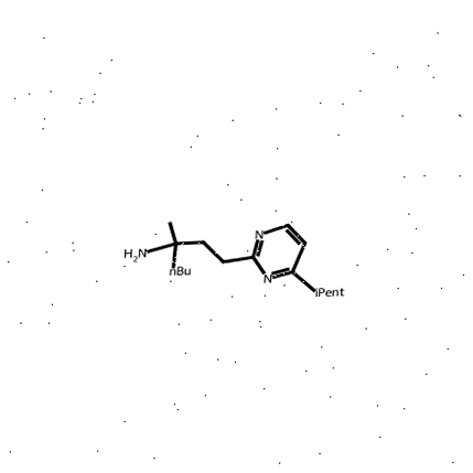 CCCCC(C)(N)CCc1nccc(C(C)CCC)n1